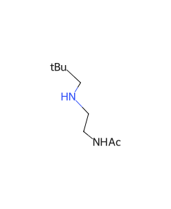 CC(=O)NCCNCC(C)(C)C